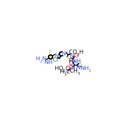 CC(C)(O/N=C(\C(=O)N[C@@H]1C(=O)N2C(C(=O)O)=C(C[n+]3ccc4c(ccn4Cc4c(F)cc(C(=N)N)cc4Cl)c3)CS[C@H]12)c1csc(N)n1)C(=O)O